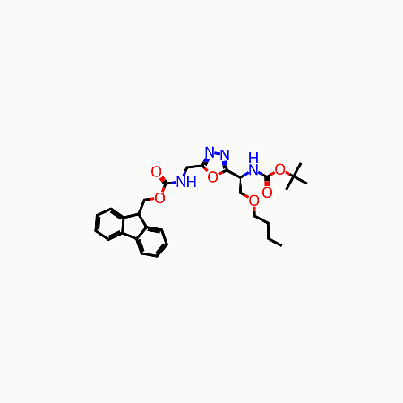 CCCCOC[C@H](NC(=O)OC(C)(C)C)c1nnc(CNC(=O)OCC2c3ccccc3-c3ccccc32)o1